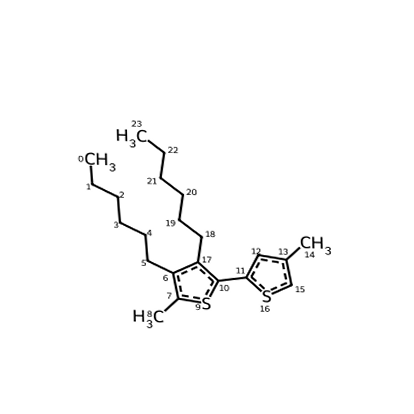 CCCCCCc1c(C)sc(-c2cc(C)cs2)c1CCCCCC